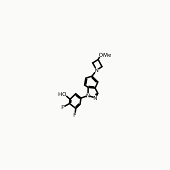 COC1CN(c2ccc3c(cnn3-c3cc(O)c(F)c(F)c3)c2)C1